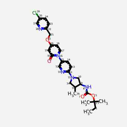 CCC(C)(C)OC(=O)NC1CN(c2ccc(-n3ccc(OCc4ccc(Cl)cn4)cc3=O)cn2)CC1C